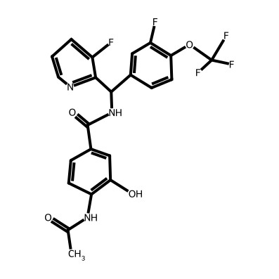 CC(=O)Nc1ccc(C(=O)NC(c2ccc(OC(F)(F)F)c(F)c2)c2ncccc2F)cc1O